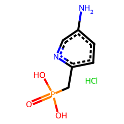 Cl.Nc1ccc(CP(=O)(O)O)nc1